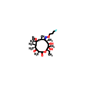 CC[C@H]1OC(=O)[C@H](C)C(=O)[C@H](C)[C@@H](C)[C@](C)(OC)C[C@@H](C)C(=NOCCCF)[C@H](C)[C@@H](O)[C@]1(C)O